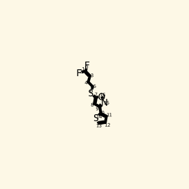 FC(F)=CCCSc1cc(-c2cccs2)no1